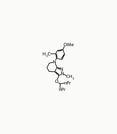 CCCC(CCC)Oc1c2c(nn1C)N(c1ccc(OC)cc1C)CCC2